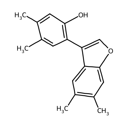 Cc1cc(O)c(-c2coc3cc(C)c(C)cc23)cc1C